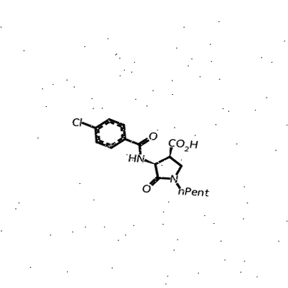 CCCCCN1C[C@H](C(=O)O)[C@H](NC(=O)c2ccc(Cl)cc2)C1=O